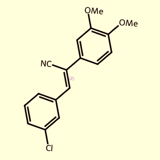 COc1ccc(/C(C#N)=C/c2cccc(Cl)c2)cc1OC